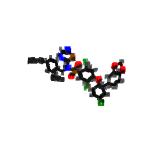 COc1ccc(CN(c2ncns2)S(=O)(=O)c2cc(F)c(Oc3ccc(Cl)cc3-c3ccc4c(c3)OCO4)cc2F)c(OC)c1